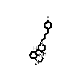 CN1CCN2c3c(cccc31)[C@@H]1CN(CCCCc3ccc(F)cc3)CC[C@@H]12